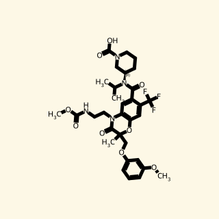 COC(=O)NCCN1C(=O)C(C)(COc2cccc(OC)c2)Oc2cc(C(F)(F)F)c(C(=O)N(C(C)C)[C@@H]3CCCN(C(=O)O)C3)cc21